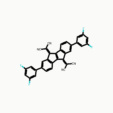 N#CC(C#N)=C1C2=C(C(=C(C#N)C#N)c3cc(-c4cc(F)cc(F)c4)ccc32)c2ccc(-c3cc(F)cc(F)c3)cc21